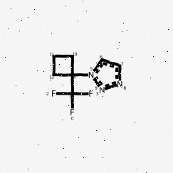 FC(F)(F)C1(n2ccnn2)CCC1